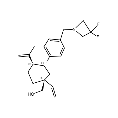 C=C[C@]1(CO)CC[C@@H](C(=C)C)[C@H](c2ccc(CN3CC(F)(F)C3)cc2)C1